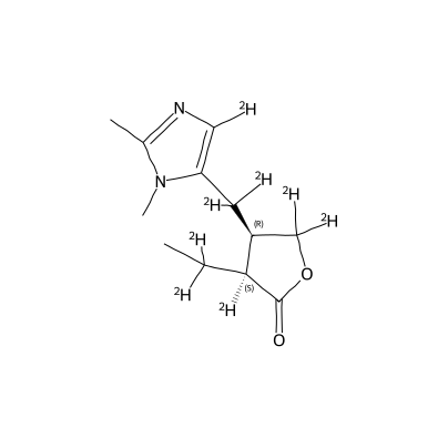 [2H]c1nc(C)n(C)c1C([2H])([2H])[C@H]1C([2H])([2H])OC(=O)[C@@]1([2H])C([2H])([2H])C